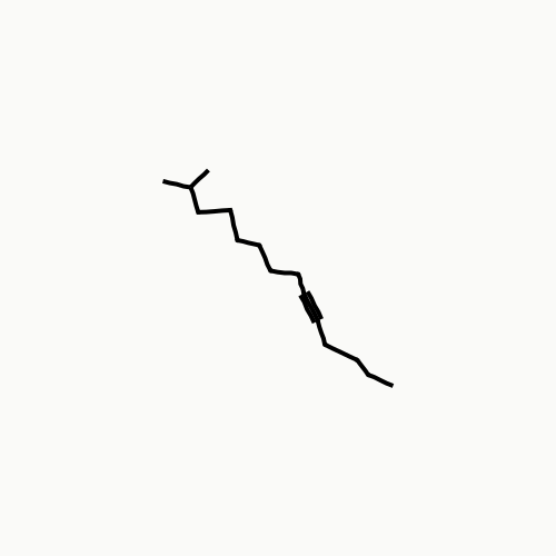 CCCCC#CCCCCCCC(C)C